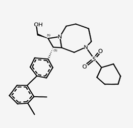 Cc1cccc(-c2ccc([C@H]3C4CN(S(=O)(=O)C5CCCCC5)CCCCN4[C@@H]3CO)cc2)c1C